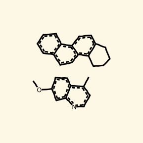 COc1ccc2c(C)ccnc2c1.c1ccc2c(c1)ccc1c3c(ccc12)CCCC3